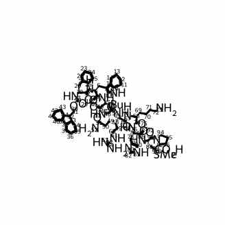 CC[C@H](C)[C@H](NC(=O)[C@H](Cc1c[nH]c2ccccc12)NC(=O)[C@H](Cc1ccccc1)NC(=O)OCC1c2ccccc2-c2ccccc21)C(=O)N[C@@H](CCC(N)=O)C(=O)N[C@@H](CCCNC(=N)N)C(=O)N[C@@H](CCCCN)C(=O)N[C@@H](Cc1c[nH]cn1)C(=O)N[C@@H](CCSC)C(=O)N1CCC[C@H]1C(=O)O